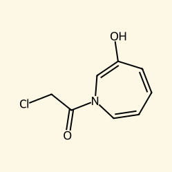 O=C(CCl)N1C=CC=CC(O)=C1